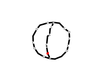 C1COCCN2CCOCCOCCN(CCO1)CCSCCSCC2